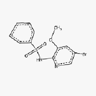 COc1cc(Br)cnc1NS(=O)(=O)c1ccccc1